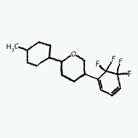 CC1CCC(C2CCC(C3=CC=CC(F)(F)C3(F)F)CO2)CC1